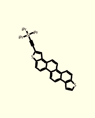 CC(C)[Si](C#Cc1cc2c(ccc3c2ccc2c4ccc5sccc5c4ccc32)s1)(C(C)C)C(C)C